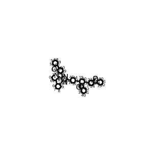 c1cncc(-c2ccccc2-c2nc(-c3ccc(-c4ccc(-c5ccc6c(c5)oc5ccccc56)c5c4oc4ccccc45)cc3)nc(-c3ccc4c(c3)oc3ccccc34)n2)c1